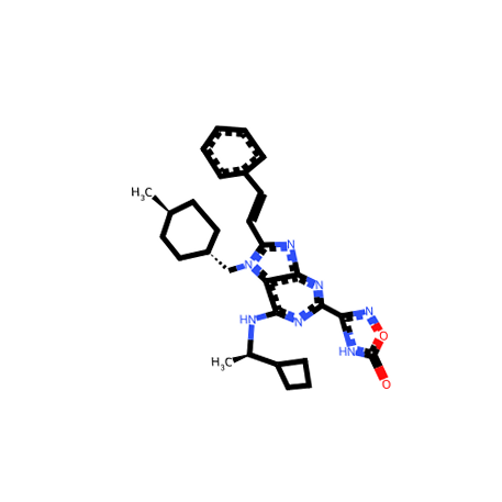 C[C@@H](Nc1nc(-c2noc(=O)[nH]2)nc2nc(C=Cc3ccccc3)n(C[C@H]3CC[C@H](C)CC3)c12)C1CCC1